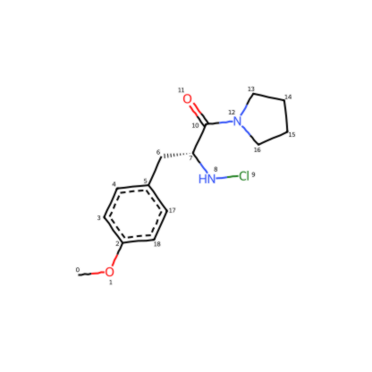 COc1ccc(C[C@@H](NCl)C(=O)N2CCCC2)cc1